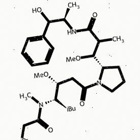 CC[C@H](C)[C@@H]([C@@H](CC(=O)N1CCC[C@H]1C(OC)C(C)C(=O)N[C@H](C)C(O)c1ccccc1)OC)N(C)C(=O)CC(C)C